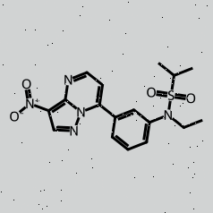 CCN(c1cccc(-c2ccnc3c([N+](=O)[O-])cnn23)c1)S(=O)(=O)C(C)C